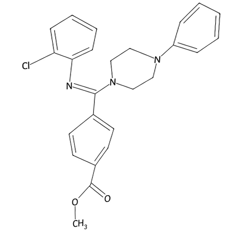 COC(=O)c1ccc(C(=Nc2ccccc2Cl)N2CCN(c3ccccc3)CC2)cc1